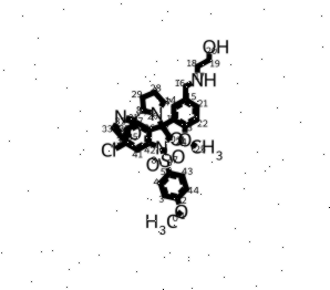 COc1ccc(S(=O)(=O)N2C(=O)C(c3cc(CNCCO)ccc3OC)(N3CCC[C@H]3c3ncco3)c3ccc(Cl)cc32)cc1